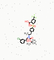 C[C@H](Cc1ccc(S(=O)(=O)c2ccc(C(F)(F)F)cc2C(=O)O)cc1)N(C[C@@H](O)c1cccc(Cl)c1)C(=O)OC(C)(C)C